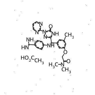 CC(=O)O.Cc1cc(OCC(=O)N(C)C)cc([C@H](Nc2ccc(C(=N)N)cc2)c2nn(-c3ncccn3)c(=O)[nH]2)c1